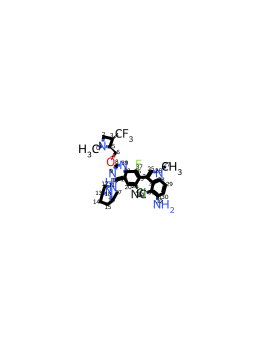 CN1C[C@@H](C(F)(F)F)[C@H]1COc1nc(N2CC3CCC(C2)N3)c2cc(Cl)c(-c3cn(C)c4ccc(N)c(C#N)c34)c(F)c2n1